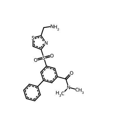 CN(C)C(=O)c1cc(-c2ccccc2)cc(S(=O)(=O)c2csc(CN)n2)c1